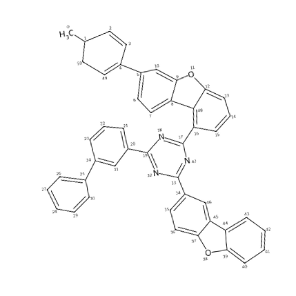 CC1C=CC(c2ccc3c(c2)oc2cccc(-c4nc(-c5cccc(-c6ccccc6)c5)nc(-c5ccc6oc7ccccc7c6c5)n4)c23)=CC1